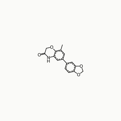 Cc1cc(-c2ccc3c(c2)OCO3)cc2c1OCC(=O)N2